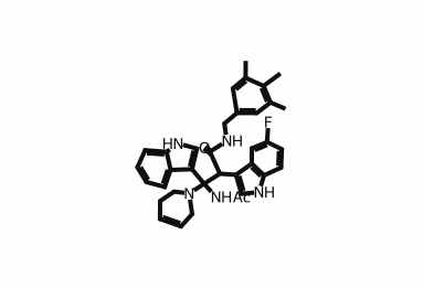 CC(=O)NC(c1c[nH]c2ccccc12)(C(C(=O)NCc1cc(C)c(C)c(C)c1)c1c[nH]c2ccc(F)cc12)N1CC=CCC1